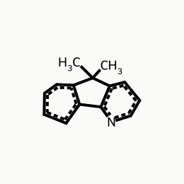 CC1(C)c2ccccc2-c2ncccc21